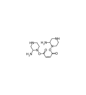 NC1CNCCN1OC(=O)/C=C\C(=O)ON1CCNCC1N